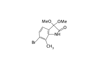 COC1(OC)C(=O)Nc2c1ccc(Br)c2C